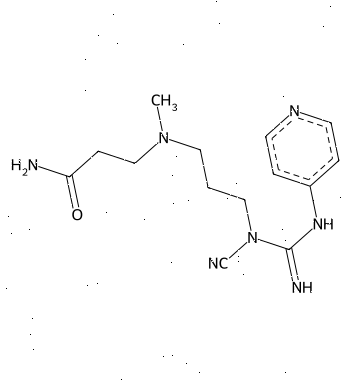 CN(CCCN(C#N)C(=N)Nc1ccncc1)CCC(N)=O